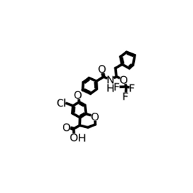 O=C(NC(Cc1ccccc1)OC(F)(F)F)c1ccc(Oc2cc3c(cc2Cl)C(C(=O)O)CCO3)cc1